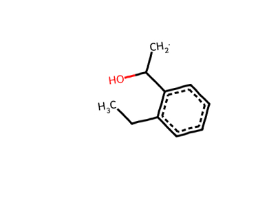 [CH2]C(O)c1ccccc1CC